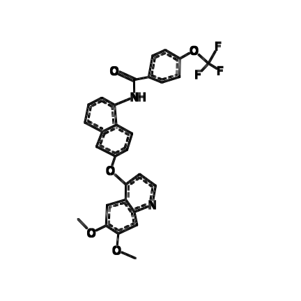 COc1cc2nccc(Oc3ccc4c(NC(=O)c5ccc(OC(F)(F)F)cc5)cccc4c3)c2cc1OC